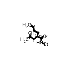 C=CCCC(CC(=C)C)C(=O)NCC